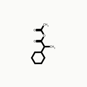 CC(=O)OC(=O)C(C)C1CCCCC1